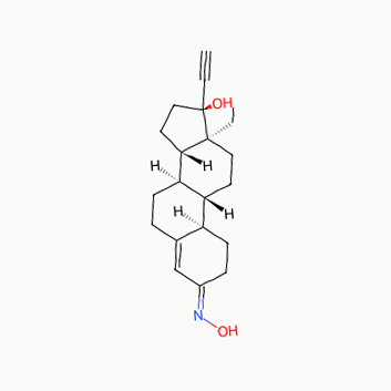 C#C[C@@]1(O)CC[C@H]2[C@@H]3CCC4=C/C(=N/O)CC[C@@H]4[C@H]3CC[C@@]21CC